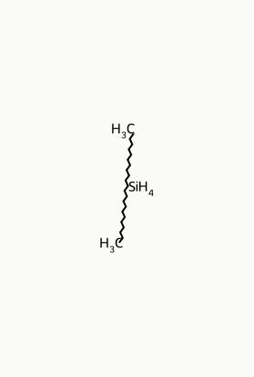 CCCCCCCCCCCCCCCCCCCCCCC.[SiH4]